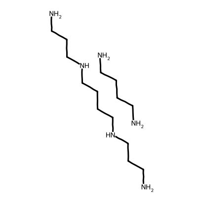 NCCCCN.NCCCNCCCCNCCCN